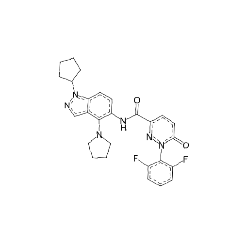 O=C(Nc1ccc2c(cnn2C2CCCC2)c1N1CCCC1)c1ccc(=O)n(-c2c(F)cccc2F)n1